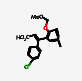 COCOc1ccc(C)cc1/C(=C/C(=O)O)c1ccc(Cl)cc1